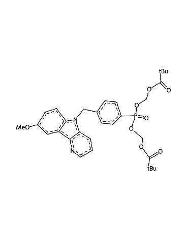 COc1ccc2c(c1)c1ncccc1n2Cc1ccc(P(=O)(OCOC(=O)C(C)(C)C)OCOC(=O)C(C)(C)C)cc1